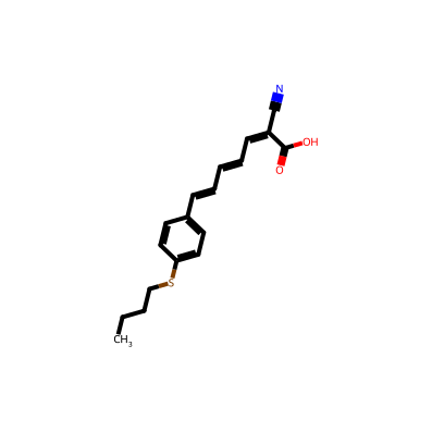 CCCCSc1ccc(C=CC=CC=C(C#N)C(=O)O)cc1